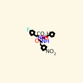 O=C(N[C@@H](Cc1ccc([N+](=O)[O-])cc1)C(=O)N[C@@H](Cc1ccc(F)cc1)C(=O)O)OCc1ccccc1